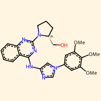 COc1cc(-n2cnc(Nc3nc(N4CCC[C@@H]4CO)nc4ccccc34)c2)cc(OC)c1OC